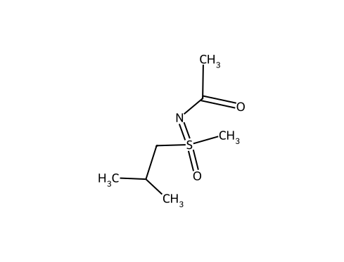 CC(=O)N=S(C)(=O)CC(C)C